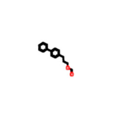 O=COCCCc1ccc(-c2ccccc2)cc1